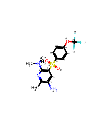 [CH2]c1nc(N(C)C)c(S(=O)(=O)c2ccc(OC(F)(F)F)cc2)cc1N